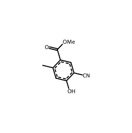 COC(=O)c1cc(C#N)c(O)cc1C